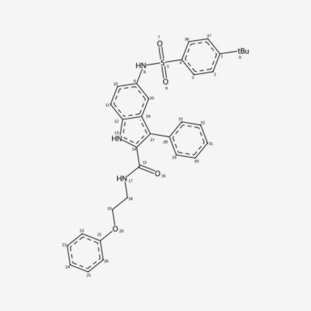 CC(C)(C)c1ccc(S(=O)(=O)Nc2ccc3[nH]c(C(=O)NCCOc4ccccc4)c(-c4ccccc4)c3c2)cc1